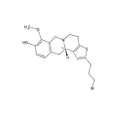 COc1c(O)ccc2c1CN1CCc3sc(CCCBr)cc3[C@@H]1C2